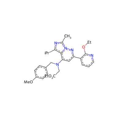 CCOC(=O)CN(Cc1ccc(OC)cc1)c1cc(-c2cccnc2OCC)nn2c(C)nc(C(C)C)c12